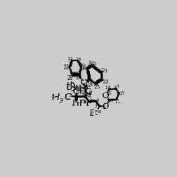 CCCC(C)(C)C(C=C[C@H](CC)OC1CCCCO1)O[Si](c1ccccc1)(c1ccccc1)C(C)(C)C